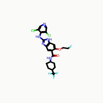 O=C(NC1CCC(C(F)(F)F)CC1)c1cc2nc(Nc3c(Cl)cncc3Cl)[nH]c2cc1OCCF